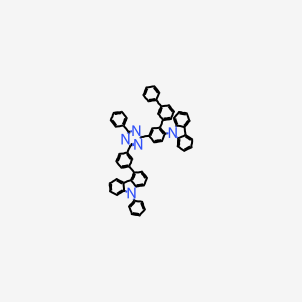 c1ccc(-c2cccc(-c3cc(-c4nc(-c5ccccc5)nc(-c5cccc(-c6cccc7c6c6ccccc6n7-c6ccccc6)c5)n4)ccc3-n3c4ccccc4c4ccccc43)c2)cc1